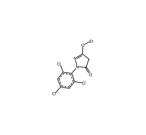 CCOC1=NN(c2c(Cl)cc(Cl)cc2Cl)C(=O)C1